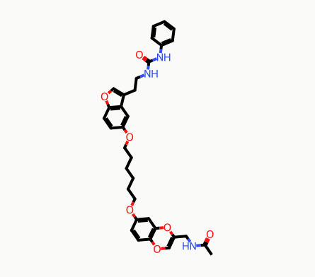 CC(=O)NCC1=COc2ccc(OCCCCCCOc3ccc4occ(CCNC(=O)Nc5ccccc5)c4c3)cc2O1